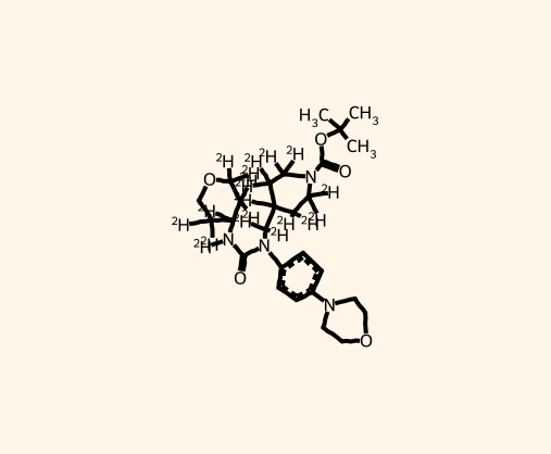 [2H]N(C(=O)N(c1ccc(N2CCOCC2)cc1)C([2H])([2H])C1([2H])C([2H])([2H])C([2H])([2H])N(C(=O)OC(C)(C)C)C([2H])([2H])C1([2H])[2H])C1([2H])C([2H])([2H])COC([2H])([2H])C1([2H])[2H]